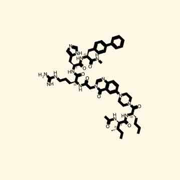 CCCC[C@H](NC(=O)[C@@H](NC(C)=O)[C@@H](C)CC)C(=O)N1CCN(c2ccc3ncn(CC(=O)N[C@@H](CCCNC(=N)N)C(=O)N[C@@H](Cc4cnc[nH]4)C(=O)N[C@@H](Cc4ccc(-c5ccccc5)cc4)C(=O)NC)c(=O)c3c2)CC1